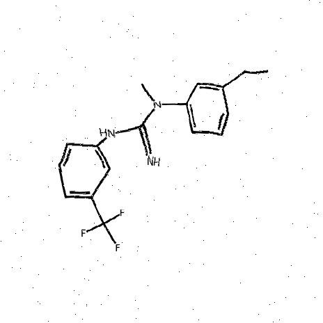 CCc1cccc(N(C)C(=N)Nc2cccc(C(F)(F)F)c2)c1